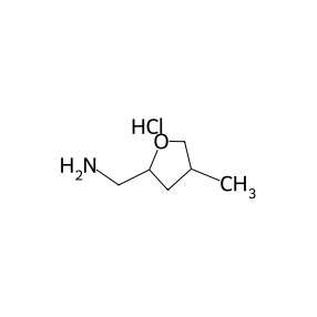 CC1COC(CN)C1.Cl